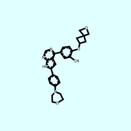 N#Cc1cc(-c2ncnc3[nH]c(-c4ccc(N5CCOCC5)cc4)cc23)ccc1OC1CC2(COC2)C1